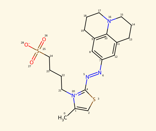 Cc1csc(/N=N/c2cc3c4c(c2)CCCN4CCC3)[n+]1CCCCS(=O)(=O)[O-]